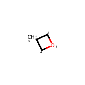 C.C1COC1